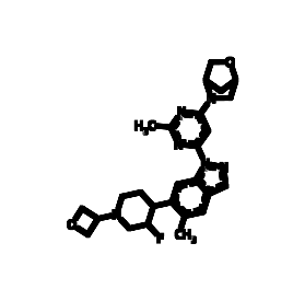 Cc1nc(N2CC3CC2CO3)cc(-n2ncc3cc(C)c(C4CCN(C5COC5)CC4F)cc32)n1